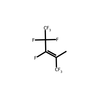 CC(=C(F)C(F)(F)C(F)(F)F)C(F)(F)F